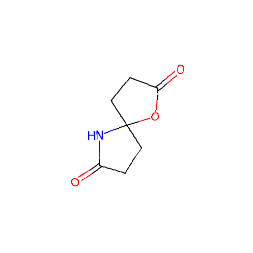 O=C1CCC2(CCC(=O)O2)N1